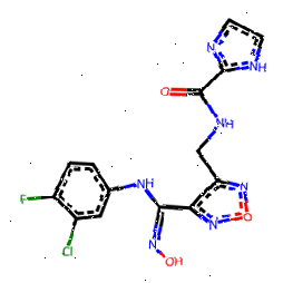 O=C(NCc1nonc1C(=NO)Nc1ccc(F)c(Cl)c1)c1ncc[nH]1